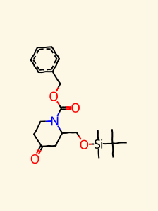 CC(C)(C)[Si](C)(C)OCC1CC(=O)CCN1C(=O)OCc1ccccc1